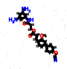 COc1cc(-c2ccc(OC#N)cc2)ccc1/C=C/C(=O)OCCC(=O)Nc1cc(N)cc(N)c1